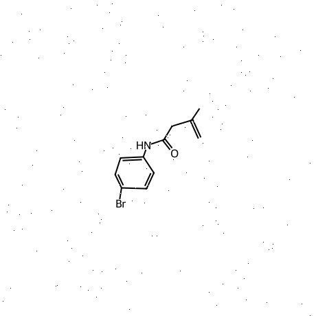 C=C(C)CC(=O)Nc1ccc(Br)cc1